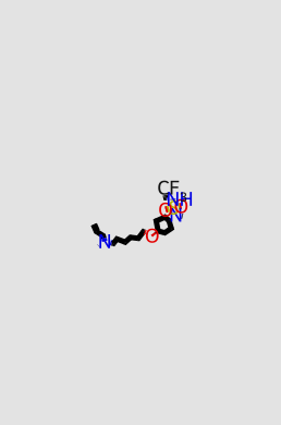 C=CCN(C)CCCCCCO[C@H]1CC[C@H](N(C)S(=O)(=O)NCC(F)(F)F)CC1